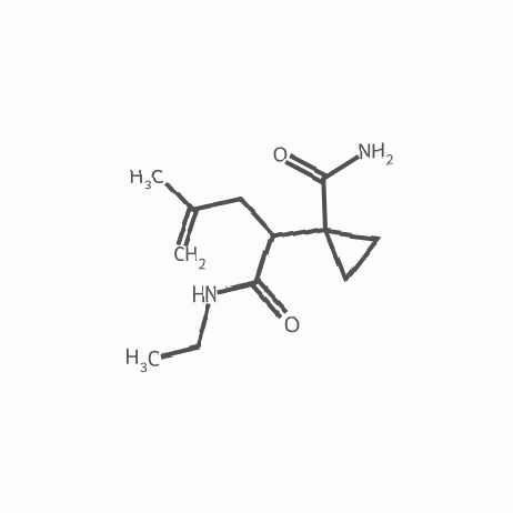 C=C(C)CC(C(=O)NCC)C1(C(N)=O)CC1